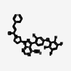 Nc1ncnc2c1c(-c1ccc(Oc3c(F)c(F)cc(F)c3F)cc1F)nn2C1CCN(C(=O)C=Cc2ccccc2)C1